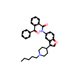 CCCCCN1CCC(c2coc3ccc(NC(=O)c4ccccc4C(=O)c4ccccc4)cc23)CC1